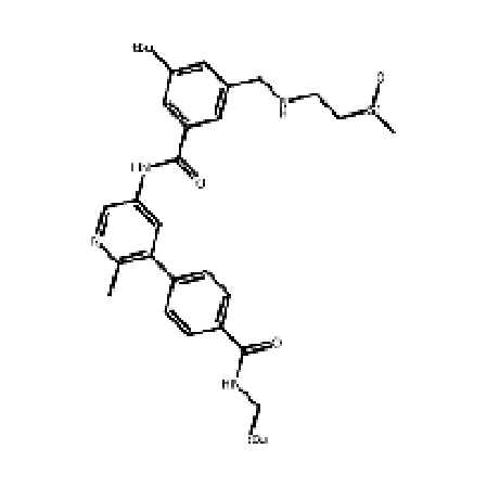 Cc1ncc(NC(=O)c2cc(CNCC[S+](C)[O-])cc(C(C)(C)C)c2)cc1-c1ccc(C(=O)NCC(C)(C)C)cc1